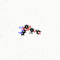 N#Cc1cc(S(=O)(=O)c2cccc(C(N)=O)c2Oc2cnc3[nH]ccc3c2)ccc1OCC1CCOCC1